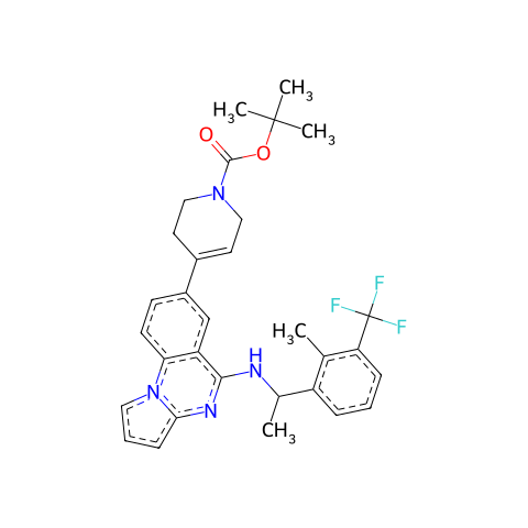 Cc1c(C(C)Nc2nc3cccn3c3ccc(C4=CCN(C(=O)OC(C)(C)C)CC4)cc23)cccc1C(F)(F)F